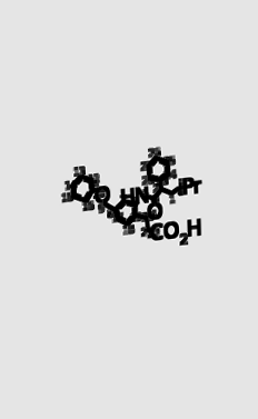 CC(C)CC(C(=O)Nc1cc(COc2ccccc2)ccc1CCC(=O)O)c1ccccc1